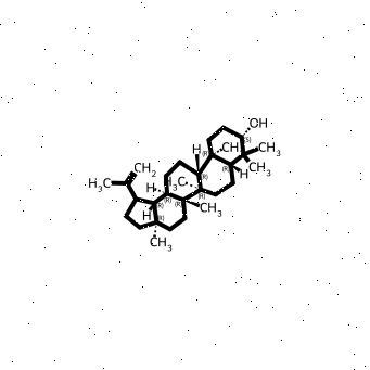 C=C(C)C1CC[C@]2(C)CC[C@]3(C)[C@H](CC[C@@H]4[C@@]5(C)CC[C@H](O)C(C)(C)[C@@H]5CC[C@]43C)[C@@H]12